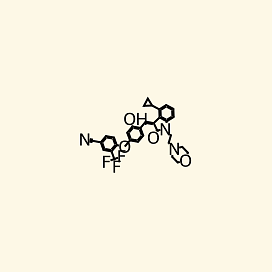 N#Cc1ccc(Oc2ccc(C=C3C(=O)N(CCN4CCOCC4)c4cccc(C5CC5)c43)c(O)c2)c(C(F)(F)F)c1